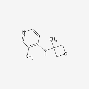 CC1(Nc2ccncc2N)COC1